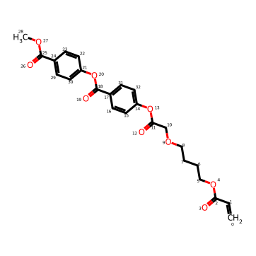 C=CC(=O)OCCCCOCC(=O)Oc1ccc(C(=O)Oc2ccc(C(=O)OC)cc2)cc1